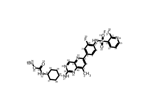 Cc1cc(-c2ccc(NS(=O)(=O)c3cccnc3C(F)(F)F)c(F)c2)nc2cnc(N[C@H]3CC[C@H](NC(=O)OC(C)(C)C)CC3)nc12